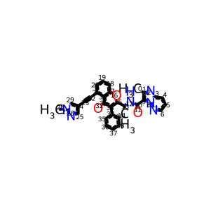 Cc1nc2cccnn2c1C(=O)NC(C)c1oc2cccc(C#Cc3cnn(C)c3)c2c(=O)c1-c1ccccc1